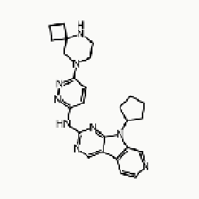 c1cc2c3cnc(Nc4ccc(N5CCNC6(CCC6)C5)nn4)nc3n(C3CCCC3)c2cn1